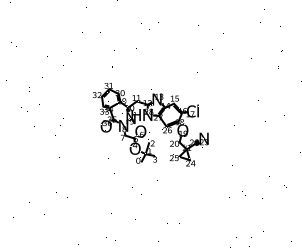 CC(C)(C)OC(=O)Cn1nc(Cc2nc3cc(Cl)c(OCC4(C#N)CC4)cc3[nH]2)c2ccccc2c1=O